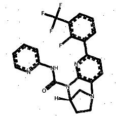 O=C(Nc1ccccn1)N1c2nc(-c3cccc(C(F)(F)F)c3F)ccc2N2CC[C@H]1C2